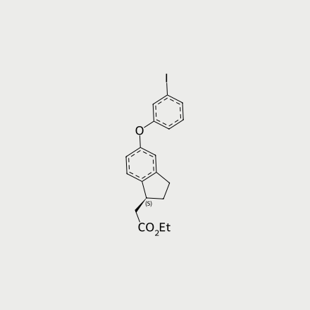 CCOC(=O)C[C@@H]1CCc2cc(Oc3cccc(I)c3)ccc21